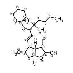 CCCCC(C)(C)[C@@H](C=C[C@@H]1[C@H]2[C@H](C[C@H]1C)OC(O)[C@H]2F)OC1CCCCO1